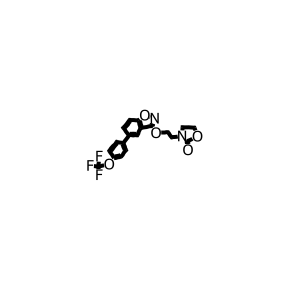 O=C1OCCN1CCOc1noc2ccc(-c3ccc(OC(F)(F)F)cc3)cc12